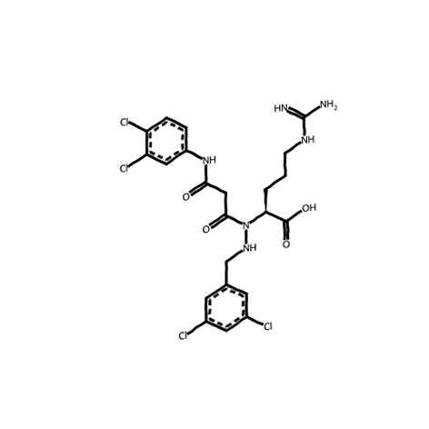 N=C(N)NCCC[C@@H](C(=O)O)N(NCc1cc(Cl)cc(Cl)c1)C(=O)CC(=O)Nc1ccc(Cl)c(Cl)c1